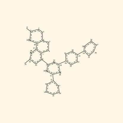 Cc1ccc2ccc3c(-c4nc(-c5ccccc5)nc(-c5ccc(-c6ccccc6)cc5)n4)cc(C)nc3c2n1